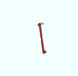 O=C(CCOCCOCCOCCOCCOCCOCCOCCOCCSSCCOCCOCCOCCOCCOCCOCCOCCOCCC(=O)ON1C(=O)CCC1O)ON1C(=O)CCC1=O